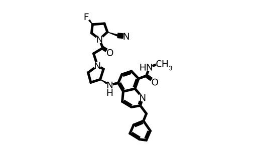 CNC(=O)c1ccc(N[C@H]2CCN(CC(=O)N3C[C@@H](F)C[C@H]3C#N)C2)c2ccc(Cc3ccccc3)nc12